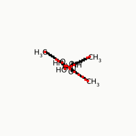 CCCCCCCCCCCCCCNC(=O)CCN(CCO)CCN(CCC(=O)NCCCCCCCCCCCCCC)CCC(=O)NCCCCCCCCCCCCCC